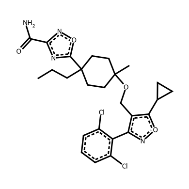 CCCC1(c2nc(C(N)=O)no2)CCC(C)(OCc2c(-c3c(Cl)cccc3Cl)noc2C2CC2)CC1